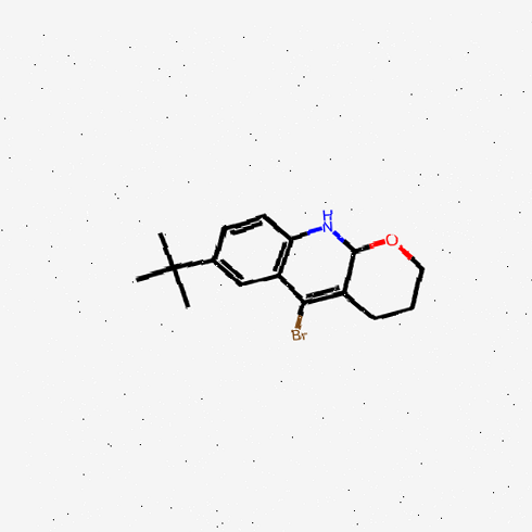 CC(C)(C)c1ccc2c(c1)C(Br)=C1CCCOC1N2